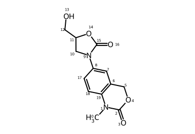 CN1C(=O)OCc2cc(N3CC(CO)OC3=O)ccc21